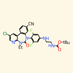 CCN1C(=O)N(c2c(F)cc(NCCNC(=O)OC(C)(C)C)cc2F)c2cc(C#N)ccc2-c2cc(Cl)cnc21